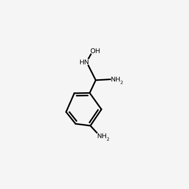 Nc1cccc(C(N)NO)c1